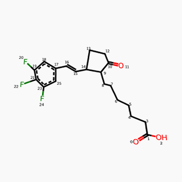 O=C(O)CCCCCCC1C(=O)CCC1C=Cc1cc(F)c(F)c(F)c1